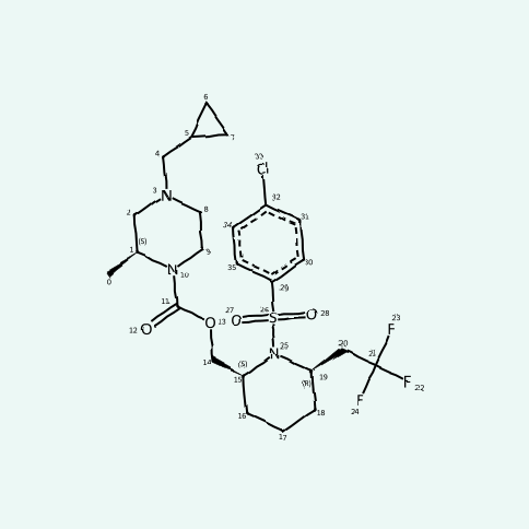 C[C@H]1CN(CC2CC2)CCN1C(=O)OC[C@@H]1CCC[C@H](CC(F)(F)F)N1S(=O)(=O)c1ccc(Cl)cc1